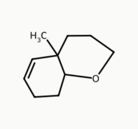 CC12C=CCCC1OCCC2